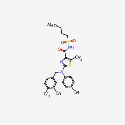 COCCCS(=O)(=O)NC(=O)c1nc(N(Cc2ccc(C(F)(F)F)c(C#N)c2)c2ccc(C#N)cc2)sc1C